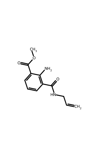 C=CCNC(=O)c1cccc(C(=O)OC)c1N